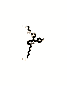 CCCCCCCCc1cccc2c(-c3ccnc(NCCCC)n3)c(-c3ccc(F)cc3)nn12